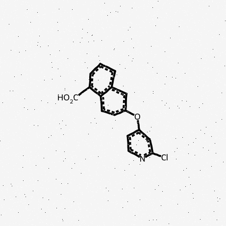 O=C(O)c1cccc2cc(Oc3ccnc(Cl)c3)ccc12